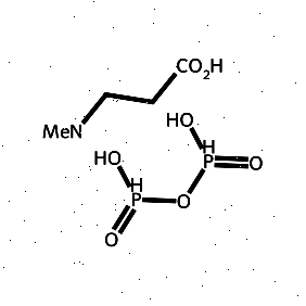 CNCCC(=O)O.O=[PH](O)O[PH](=O)O